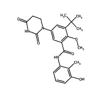 COc1c(C(=O)Nc2cccc(O)c2C)cc(N2CCC(=O)NC2=O)cc1C(C)(C)C